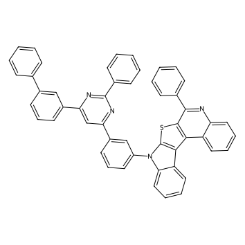 c1ccc(-c2cccc(-c3cc(-c4cccc(-n5c6ccccc6c6c7c(sc65)c(-c5ccccc5)nc5ccccc57)c4)nc(-c4ccccc4)n3)c2)cc1